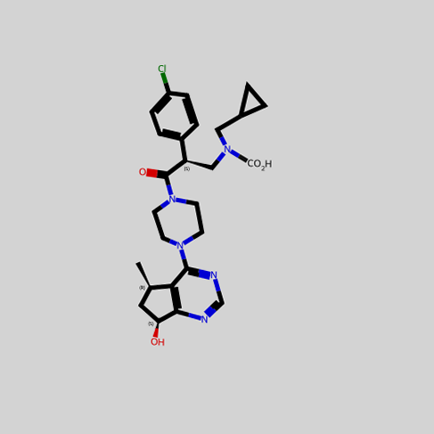 C[C@@H]1C[C@H](O)c2ncnc(N3CCN(C(=O)[C@H](CN(CC4CC4)C(=O)O)c4ccc(Cl)cc4)CC3)c21